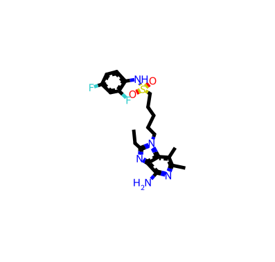 CCc1nc2c(N)nc(C)c(C)c2n1CCCCCS(=O)(=O)Nc1ccc(F)cc1F